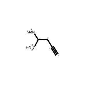 C#CCC(NC)C(=O)O